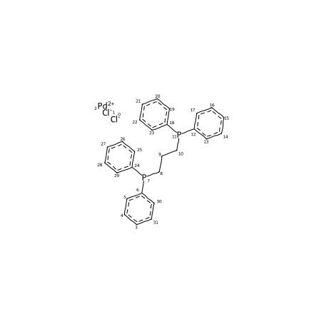 [Cl-].[Cl-].[Pd+2].c1ccc(P(CCCP(c2ccccc2)c2ccccc2)c2ccccc2)cc1